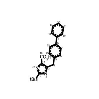 CC(C)(C)c1nc(Cc2ccc(-c3ccccc3)cc2)c(C(=O)O)s1